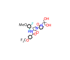 COc1cc(F)c([C@@H]2CN(c3cccn(CC(C)(CO)CO)c3=O)C(=O)[C@H]2NC(=O)c2ccc(OC(F)(F)F)cc2)c(F)c1